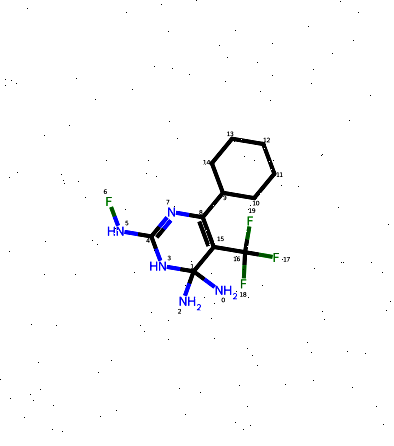 NC1(N)NC(NF)=NC(C2CCCCC2)=C1C(F)(F)F